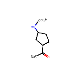 COC(=O)[C@@H]1CCC(NC(=O)O)C1